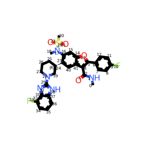 CNC(=O)c1c(-c2ccc(F)cc2)oc2cc(N(C)S(C)(=O)=O)c([C@H]3CCCN(c4nc5c(F)cccc5[nH]4)C3)cc12